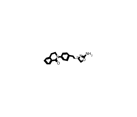 NC1=N[C@@H](CCc2ccc(N3CCc4ccccc4C3=O)cc2)CO1